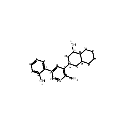 Nc1nnc(-c2ccccc2O)cc1N1CC2CCCCC2[C@H](O)C1